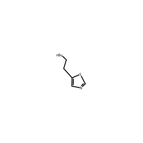 CCCCCCc1cn[c]s1